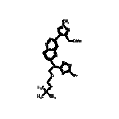 COCc1nn(C)cc1-c1cnc2ccc(N(COCC[Si](C)(C)C)c3nnc(C(C)C)s3)nc2c1